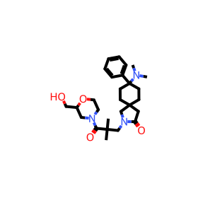 CN(C)C1(c2ccccc2)CCC2(CC1)CC(=O)N(CC(C)(C)C(=O)N1CCOC(CO)C1)C2